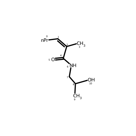 CCCC=C(C)C(=O)NCC(C)O